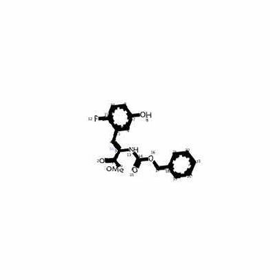 COC(=O)/C(=C/c1cc(O)ccc1F)NC(=O)OCc1ccccc1